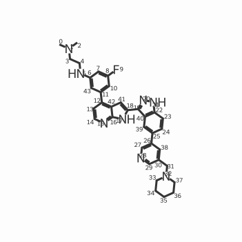 CN(C)CCNc1cc(F)cc(-c2ccnc3[nH]c(-c4n[nH]c5ccc(-c6cncc(CN7CCCCC7)c6)cc45)cc23)c1